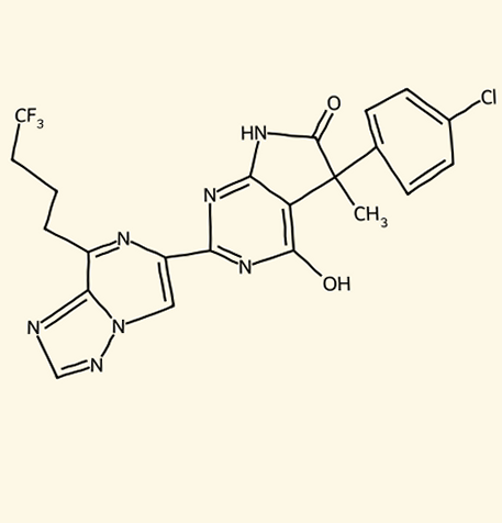 CC1(c2ccc(Cl)cc2)C(=O)Nc2nc(-c3cn4ncnc4c(CCCC(F)(F)F)n3)nc(O)c21